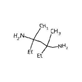 CCC(C)(N)C(C)(N)CC